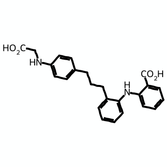 O=C(O)CNc1ccc(CCCc2ccccc2Nc2ccccc2C(=O)O)cc1